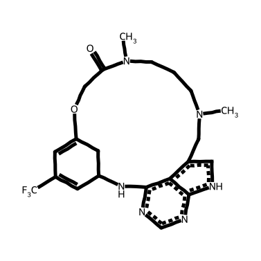 CN1CCCN(C)C(=O)COC2=CC(C(F)(F)F)=CC(C2)Nc2ncnc3[nH]cc(c23)C1